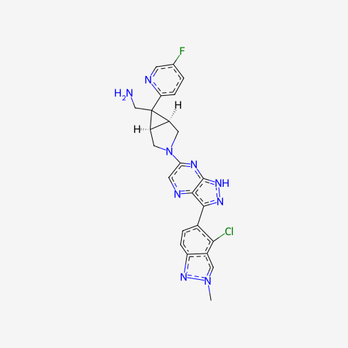 Cn1cc2c(Cl)c(-c3n[nH]c4nc(N5C[C@@H]6[C@H](C5)C6(CN)c5ccc(F)cn5)cnc34)ccc2n1